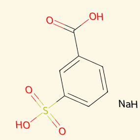 O=C(O)c1cccc(S(=O)(=O)O)c1.[NaH]